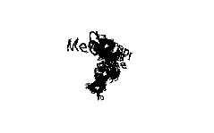 COC(=O)c1c(-c2cccc(F)c2)c(C)nn1-c1nc(-c2ccc(Cl)c(OC)c2)c(SC(C)C)s1